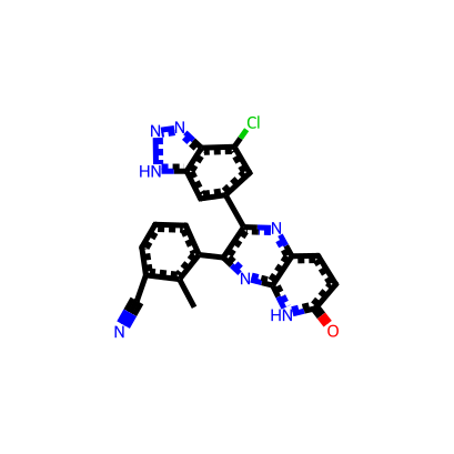 Cc1c(C#N)cccc1-c1nc2[nH]c(=O)ccc2nc1-c1cc(Cl)c2nn[nH]c2c1